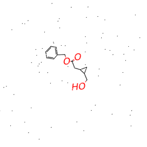 O=C(CC1CC1CO)OCc1ccccc1